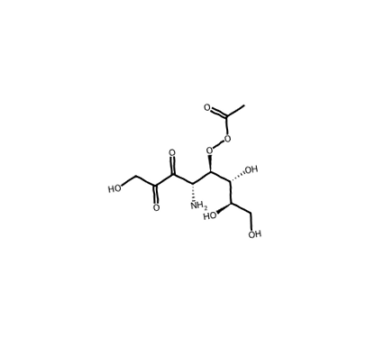 CC(=O)OO[C@@H]([C@H](O)[C@H](O)CO)[C@H](N)C(=O)C(=O)CO